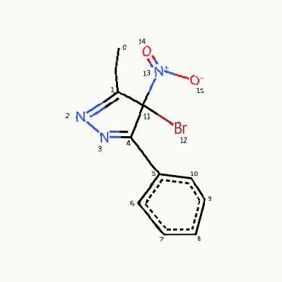 CC1=NN=C(c2ccccc2)C1(Br)[N+](=O)[O-]